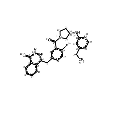 O=C(c1cc(Cc2n[nH]c(=O)c3ccccc23)ccc1F)N1CC[C@@H](Nc2cc(CC(F)(F)F)ccn2)C1